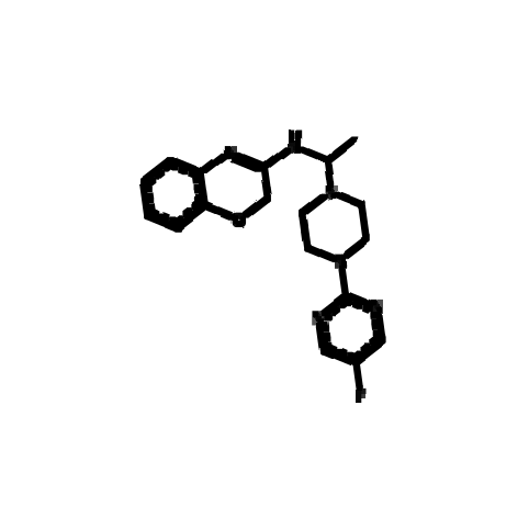 CC(NC1=Nc2ccccc2OC1)N1CCN(c2ncc(F)cn2)CC1